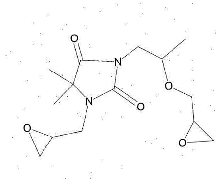 CC(CN1C(=O)N(CC2CO2)C(C)(C)C1=O)OCC1CO1